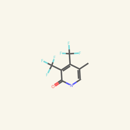 CC1=[C][N]C(=O)C(C(F)(F)F)=C1C(F)(F)F